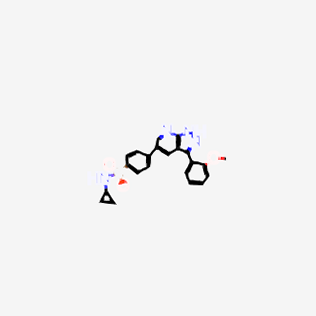 COc1ccccc1-c1n[nH]c2ncc(-c3ccc(S(=O)(=O)NC4CC4)cc3)cc12